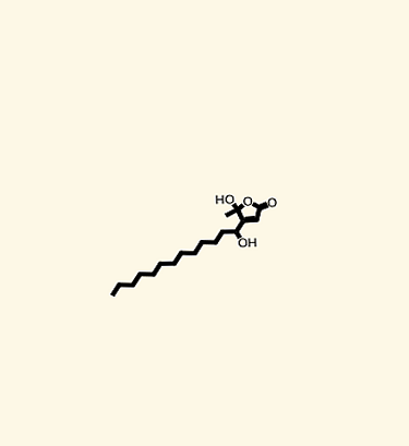 CCCCCCCCCCCCC(O)C1=CC(=O)OC1(C)O